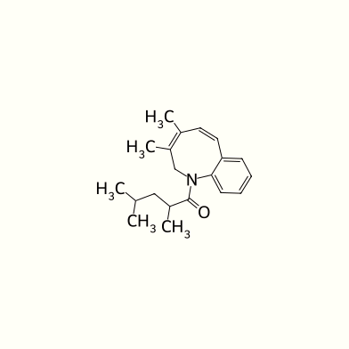 CC1=C(\C)CN(C(=O)C(C)CC(C)C)c2ccccc2/C=C\1